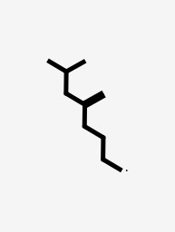 [CH2]CCCC(=C)CC(C)C